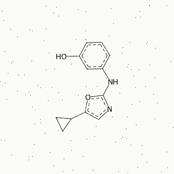 Oc1cccc(Nc2ncc(C3CC3)o2)c1